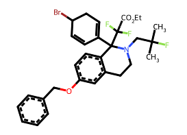 CCOC(=O)C(F)(F)C1(C2=CCC(Br)C=C2)c2ccc(OCc3ccccc3)cc2CCN1CC(C)(C)F